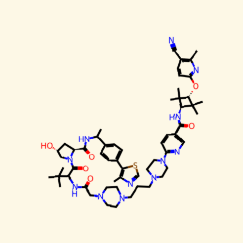 Cc1nc(O[C@H]2C(C)(C)[C@H](NC(=O)c3ccc(N4CCN(CCCN5CCN(CC(=O)NC(C(=O)N6C[C@H](O)C[C@H]6C(=O)NC(C)c6ccc(-c7scnc7C)cc6)C(C)(C)C)CC5)CC4)nc3)C2(C)C)ccc1C#N